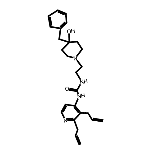 C=CCc1nccc(NC(=O)NCCN2CCC(O)(Cc3ccccc3)CC2)c1CC=C